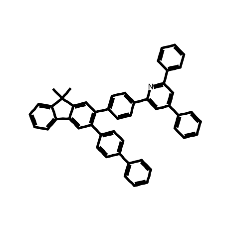 CC1(C)c2ccccc2-c2cc(-c3ccc(-c4ccccc4)cc3)c(-c3ccc(-c4cc(-c5ccccc5)cc(-c5ccccc5)n4)cc3)cc21